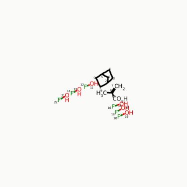 C1CC2CCC1C2.C=C(C)C(=O)O.OF.OF.OF.OF.OF.OF